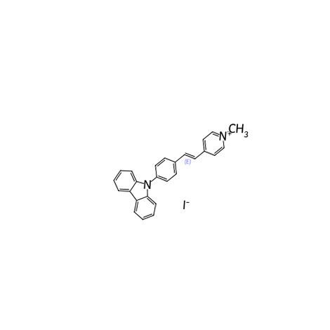 C[n+]1ccc(/C=C/c2ccc(-n3c4ccccc4c4ccccc43)cc2)cc1.[I-]